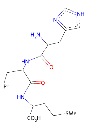 CSCCC(NC(=O)C(CC(C)C)NC(=O)C(N)Cc1c[nH]cn1)C(=O)O